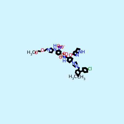 COCCOCCN1CC[C@@H](Nc2ccc(S(=O)(=O)NC(=O)c3ccc(N4CCN(CC5=C(c6ccc(Cl)cc6)CC(C)(C)CC5)CC4)cc3Oc3cnc4[nH]ccc4c3)cc2[N+](=O)[O-])C1